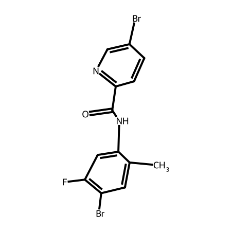 Cc1cc(Br)c(F)cc1NC(=O)c1ccc(Br)cn1